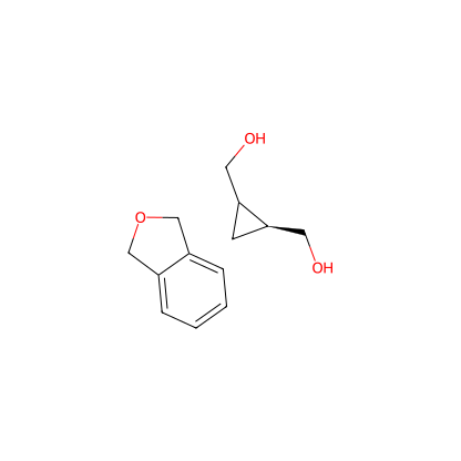 OCC1C[C@@H]1CO.c1ccc2c(c1)COC2